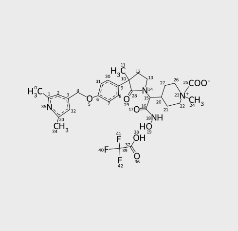 Cc1cc(COc2ccc(C3(C)CCN(C(C(=O)NO)C4CC[N+](C)(C(=O)[O-])CC4)C3=O)cc2)cc(C)n1.O=C(O)C(F)(F)F